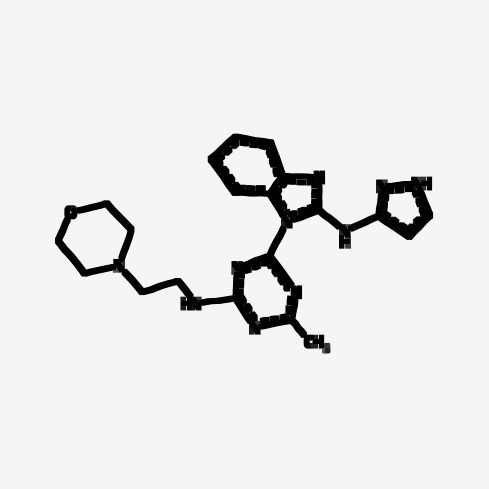 Cc1nc(NCCN2CCOCC2)nc(-n2c(Nc3cc[nH]n3)nc3ccccc32)n1